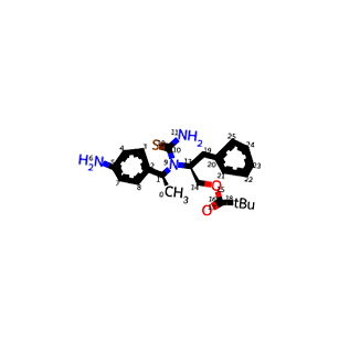 C[C@@H](c1ccc(N)cc1)N(C(N)=S)[C@H](COC(=O)C(C)(C)C)Cc1ccccc1